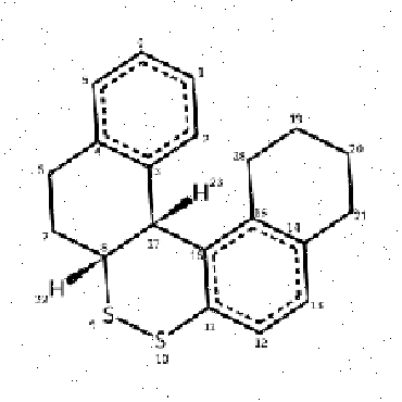 c1ccc2c(c1)CC[C@H]1SSc3ccc4c(c3[C@@H]21)CCCC4